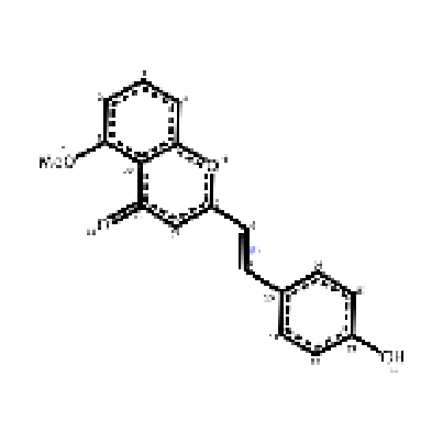 COc1cccc2oc(/C=C/c3ccc(O)cc3)cc(=O)c12